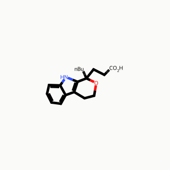 CCCCC1(CCC(=O)O)OCCc2c1[nH]c1ccccc21